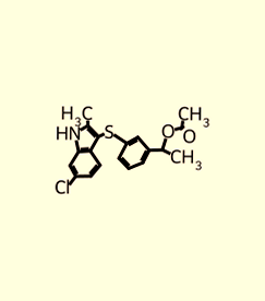 CC(=O)OC(C)c1cccc(Sc2c(C)[nH]c3cc(Cl)ccc23)c1